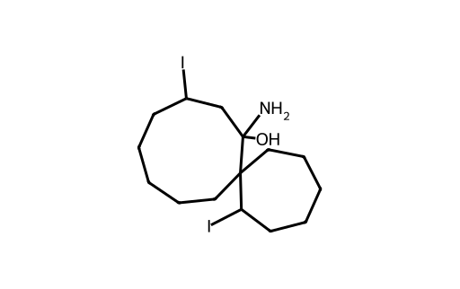 NC1(O)CC(I)CCCCCC12CCCCCC2I